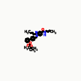 CCCCNC(=O)c1ccc2c(c1)nc(CCCC)n2Cc1ccc(-c2ccccc2OC(=O)OC(C)(C)C)cc1